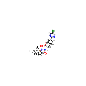 CC(C)(C)c1ccc(C(=O)NC[C@@H](Cc2ccc(-c3ncc(Br)cn3)cc2)C(=O)O)s1